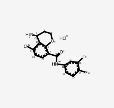 Cl.N[C@H]1CCOc2c(C(=O)Nc3ccc(F)c(F)c3)ccc(Cl)c21